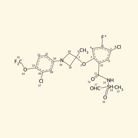 CC1(Oc2cc(F)c(Cl)cc2C(=O)N[SH](C)(=O)C=O)CN(c2ccc(OC(F)(F)F)c(Cl)c2)C1